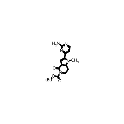 CN1C(c2ccnc(N)n2)=CC2C(=O)N(C(=O)OC(C)(C)C)CCC21